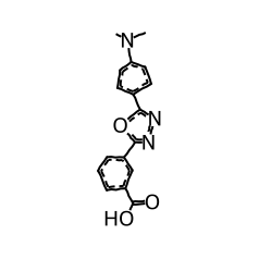 CN(C)c1ccc(-c2nnc(-c3cccc(C(=O)O)c3)o2)cc1